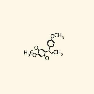 C=CC(C1=CC(=O)C(OC)=CC1=O)c1ccc(OC)cc1